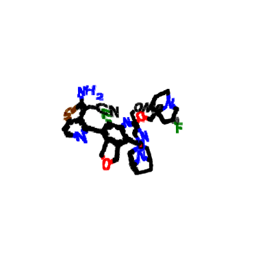 COCCCN1CC2CCC(C1)N2c1nc(OC[C@@]23CCCN2C[C@H](F)C3)nc2c(F)c(-c3nccc4sc(N)c(C#N)c34)c3c(c12)COC3